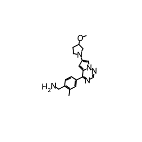 COC1CCN(c2cc3c(-c4ccc(CN)c(C)c4)ncnn3c2)C1